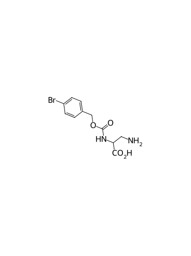 NCC(NC(=O)OCc1ccc(Br)cc1)C(=O)O